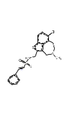 CN1CCc2c(Cl)ccc3sc(CNS(=O)(=O)/C=C/c4ccccc4)c(c23)C1